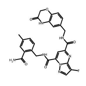 Cc1ccc(CNC(=O)c2cc(C(=O)NCc3ccc4c(c3)NC(=O)CO4)nc3c(F)cnn23)c(C(N)=O)c1